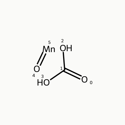 O=C(O)O.[O]=[Mn]